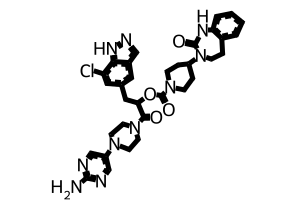 Nc1ncc(N2CCN(C(=O)C(Cc3cc(Cl)c4[nH]ncc4c3)OC(=O)N3CCC(N4CCc5ccccc5NC4=O)CC3)CC2)cn1